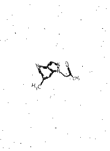 CC(=O)Cn1ncc2ncc(C)cc21